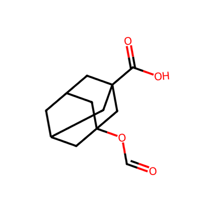 O=COC12CC3CC(C1)CC(C(=O)O)(C3)C2